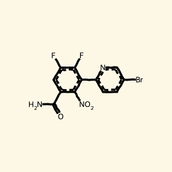 NC(=O)c1cc(F)c(F)c(-c2ccc(Br)cn2)c1[N+](=O)[O-]